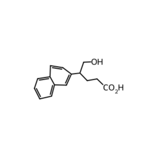 O=C(O)CCC(CO)c1ccc2ccccc2c1